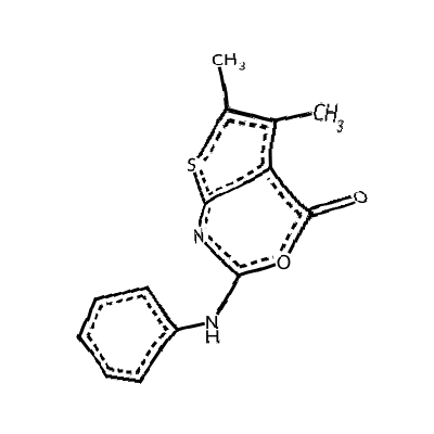 Cc1sc2nc(Nc3ccccc3)oc(=O)c2c1C